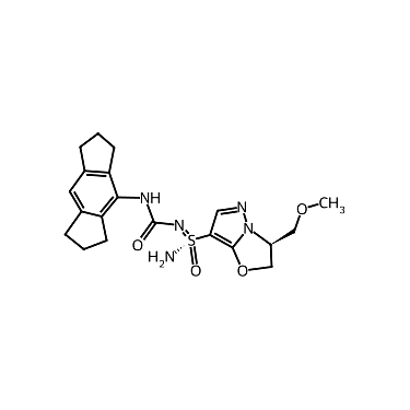 COC[C@H]1COc2c([S@@](N)(=O)=NC(=O)Nc3c4c(cc5c3CCC5)CCC4)cnn21